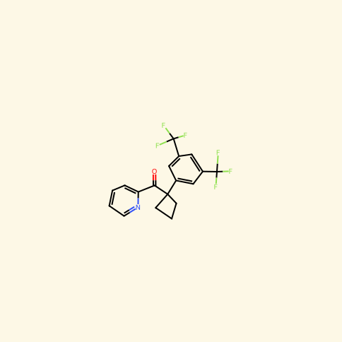 O=C(c1ccccn1)C1(c2cc(C(F)(F)F)cc(C(F)(F)F)c2)CCC1